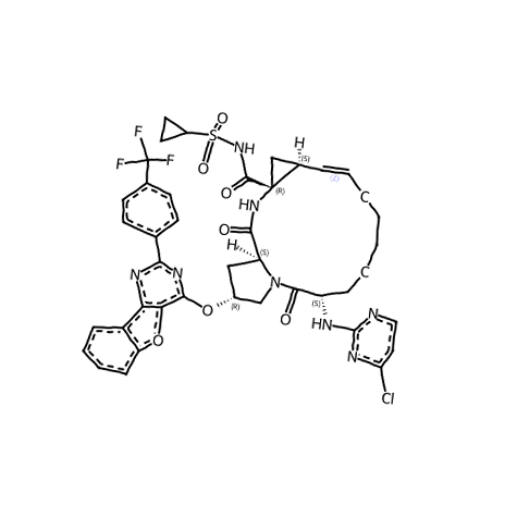 O=C1N[C@]2(C(=O)NS(=O)(=O)C3CC3)C[C@H]2/C=C\CCCCC[C@H](Nc2nccc(Cl)n2)C(=O)N2C[C@H](Oc3nc(-c4ccc(C(F)(F)F)cc4)nc4c3oc3ccccc34)C[C@@H]12